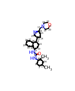 Cc1ccc(NC(=O)Nc2ccc(-c3ccc(CN4CCOCC4)nc3)c3ccccc23)c(C)c1